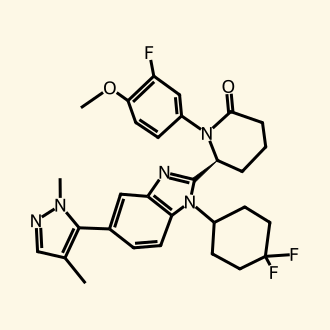 COc1ccc(N2C(=O)CCC[C@H]2c2nc3cc(-c4c(C)cnn4C)ccc3n2C2CCC(F)(F)CC2)cc1F